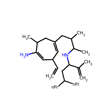 C=CC1C=C(CC(C)C(C)NC(CC(CCC)CCC)C(=C)C)CC(C)C(N)=C1